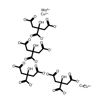 O=C([O-])CC(O)(CC(=O)[O-])C(=O)[O-].O=C([O-])CC(O)(CC(=O)[O-])C(=O)[O-].O=C([O-])CC(O)(CC(=O)[O-])C(=O)[O-].O=C([O-])CC(O)(CC(=O)[O-])C(=O)[O-].[Cu+2].[Cu+2].[Cu+2].[Mo+6]